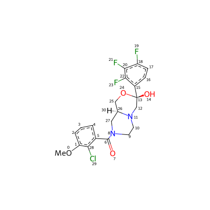 COc1cccc(C(=O)N2CCN3C[C@@](O)(c4ccc(F)c(F)c4F)OC[C@@H]3C2)c1Cl